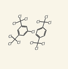 ClC(Cl)(Cl)c1ccc(C(Cl)(Cl)Cl)cc1.Clc1cc(C(Cl)(Cl)Cl)cc(C(Cl)(Cl)Cl)c1